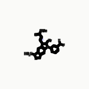 COC(=O)/C=C/c1c(C(C)C)n(-c2cccc(C(F)F)c2)c2cc3cnn(C(=O)O)c3cc12